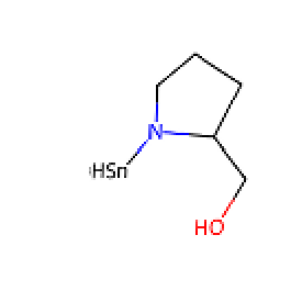 OCC1CCC[N]1[SnH]